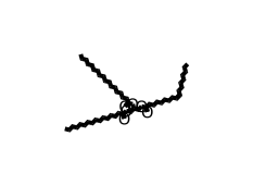 CCCCCCCC/C=C\CCCCCCCC(=O)OCC(COC(=O)CCCCCCCCCCCCCCC)OC(=O)CCCCCCCCCCCCCCCCC